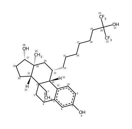 C=CC12CCc3cc(O)ccc3[C@H]1[C@@H](CCCCCCC(O)(C(F)(F)F)C(F)(F)F)C[C@]1(C)[C@@H](O)CC[C@@H]21